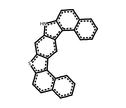 c1ccc2c(c1)ccc1[nH]c3cc4sc5ccc6ccccc6c5c4cc3c12